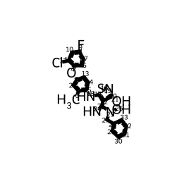 Cc1cc(Oc2ccc(F)cc2Cl)ccc1Nc1snc(O)c1C(=N)N(O)Cc1ccccc1